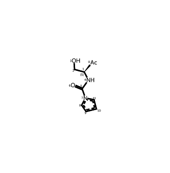 CC(=O)[C@H](CO)NC(=O)n1cccc1